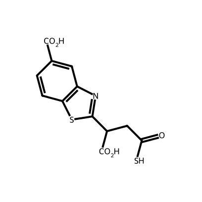 O=C(S)CC(C(=O)O)c1nc2cc(C(=O)O)ccc2s1